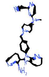 CN(c1ccnc(C#N)n1)C1CCN(Cc2ccc(-n3c(-c4cccnc4N)nc4cccnc43)cc2)CC1